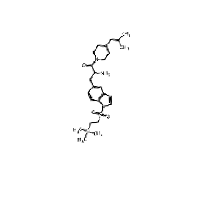 CC(C)CN1CCN(C(=O)C(N)Cc2ccc3c(ccn3S(=O)(=O)CC[Si](C)(C)C)c2)CC1